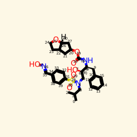 CC(C)CN(C[C@@H](O)[C@H](Cc1ccccc1)NC(=O)OC1CC2CCO[C@@H]2C1)S(=O)(=O)c1ccc(C=NO)cc1